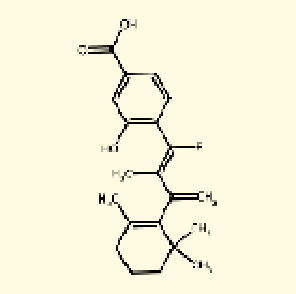 C=C(C1=C(C)CCCC1(C)C)/C(C)=C(\F)c1ccc(C(=O)O)cc1O